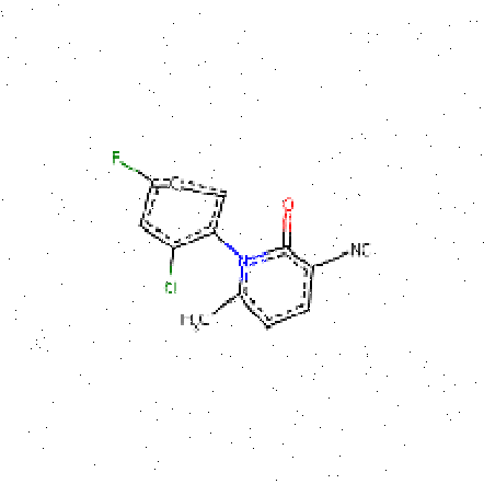 [C-]#[N+]c1ccc(C)n(-c2ccc(F)cc2Cl)c1=O